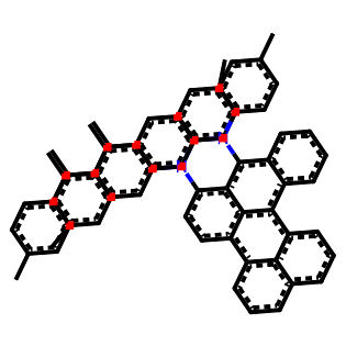 C=C(c1ccc(C)cc1)c1ccc(N(c2ccc(C)cc2)c2ccc3c4cccc5cccc(c54)c4c5ccccc5c(N(c5ccc(C)cc5)c5ccc(C(=C)c6ccc(C)cc6)cc5)c2c34)cc1